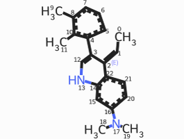 C/C=C1\C(c2cccc(C)c2C)=CNc2cc(N(C)C)ccc21